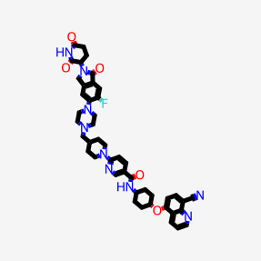 N#Cc1ccc(OC2CCC(NC(=O)c3ccc(N4CCC(CN5CCN(c6cc7c(cc6F)C(=O)N(C6CCC(=O)NC6=O)C7)CC5)CC4)nc3)CC2)c2cccnc12